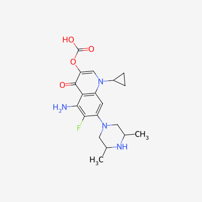 CC1CN(c2cc3c(c(N)c2F)c(=O)c(OC(=O)O)cn3C2CC2)CC(C)N1